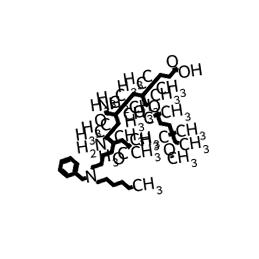 CCCCCCN(CCCC(=O)C(CC(C)(C)C)C(C)(N)C(C)(C)CC(C(N)=O)C(C)(C)C(C)(C)CC(C(=O)OC(C)(C)CCC(C)(C)C(C)OC)C(C)(C)C(C)(C)CCC(=O)O)Cc1ccccc1